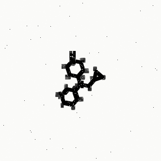 c1cncc(N(CC2CC2)C2CCNCC2)c1